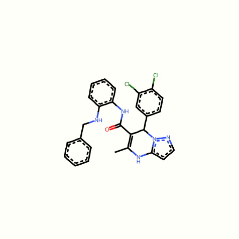 CC1=C(C(=O)Nc2ccccc2NCc2ccccc2)C(c2ccc(Cl)c(Cl)c2)n2nccc2N1